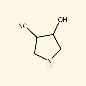 N#CC1CNCC1O